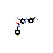 CC(C)c1cc(Nc2cccc(C(F)(F)F)c2F)ncc1C(=O)NCc1ccc(F)cc1